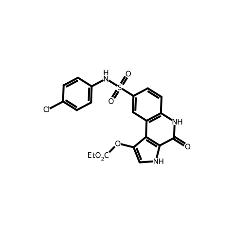 CCOC(=O)Oc1c[nH]c2c(=O)[nH]c3ccc(S(=O)(=O)Nc4ccc(Cl)cc4)cc3c12